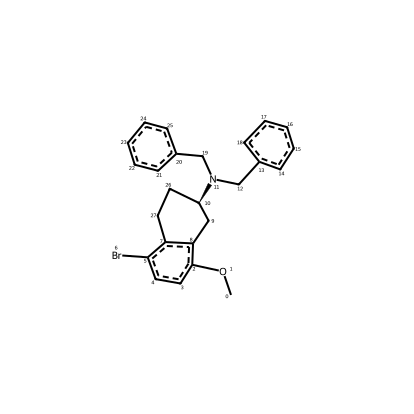 COc1ccc(Br)c2c1C[C@H](N(Cc1ccccc1)Cc1ccccc1)CC2